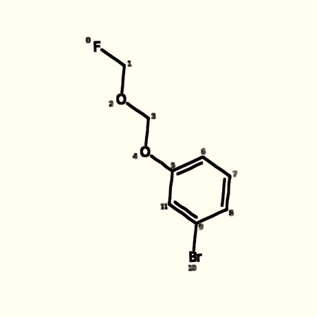 FCOCOc1cccc(Br)c1